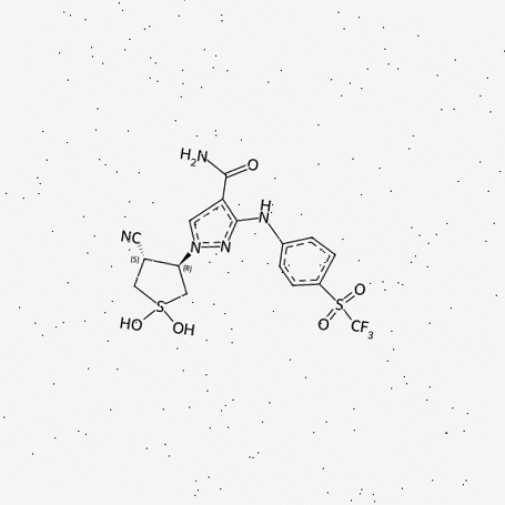 N#C[C@H]1CS(O)(O)C[C@@H]1n1cc(C(N)=O)c(Nc2ccc(S(=O)(=O)C(F)(F)F)cc2)n1